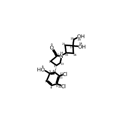 O=C1C[C@@H](c2c(O)ccc(Cl)c2Cl)CN1C1CC(O)(CO)C1